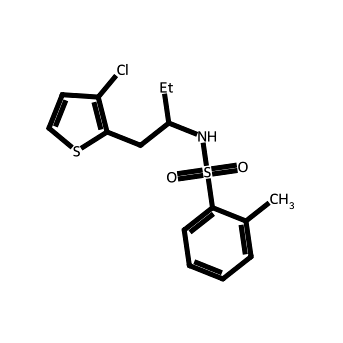 CCC(Cc1sccc1Cl)NS(=O)(=O)c1ccccc1C